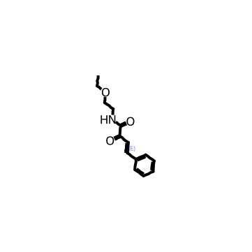 CCOCCNC(=O)C(=O)/C=C/c1ccccc1